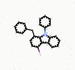 Ic1ccc(Cc2ccccc2)c2c1c1ccccc1n2-c1ccccc1